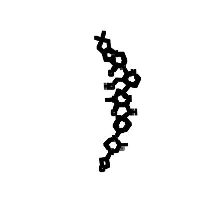 C[C@H]1CN(C2COC2)CCN1c1ccc(Nc2nc(-c3ccnc(-n4ccn5c6c(cc5c4=O)CC(C)(C)C6)c3CO)cn(C)c2=O)nc1